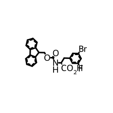 O=C(N[C@@H](Cc1cc(F)cc(Br)c1)C(=O)O)OCC1c2ccccc2-c2ccccc21